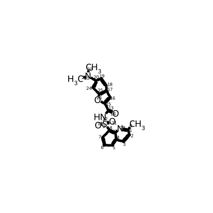 Cc1ccc2cccc(S(=O)(=O)NC(=O)c3cc4ccc(N(C)C)cc4o3)c2n1